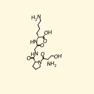 NCCCC[C@H](NC(=O)CNC(=O)[C@@H]1CCCN1C(=O)[C@@H](N)CO)C(=O)O